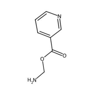 NCOC(=O)c1cccnc1